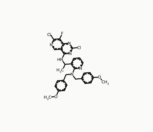 COc1ccc(CN(Cc2ccc(OC)cc2)c2ncccc2C(C)Nc2nc(Cl)nc3c(F)c(Cl)ncc23)cc1